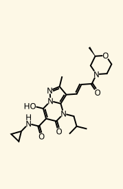 Cc1nn2c(O)c(C(=O)NC3CC3)c(=O)n(CC(C)C)c2c1/C=C/C(=O)N1CCO[C@H](C)C1